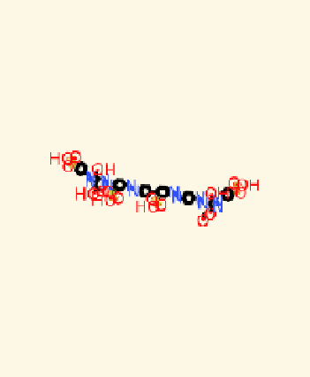 O=COc1nn(-c2ccc(S(=O)(=O)O)cc2)c(O)c1N=Nc1ccc(N=Nc2ccc(-c3ccc(N=Nc4ccc(N=Nc5c(C(=O)O)nn(-c6ccc(S(=O)(=O)O)cc6)c5O)c(S(=O)(=O)O)c4)cc3)c(S(=O)(=O)O)c2)cc1